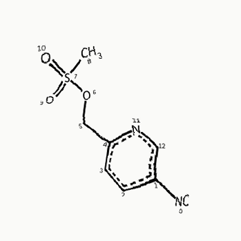 [C-]#[N+]c1ccc(COS(C)(=O)=O)nc1